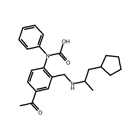 CC(=O)c1ccc(N(C(=O)O)c2ccccc2)c(CNC(C)CC2CCCC2)c1